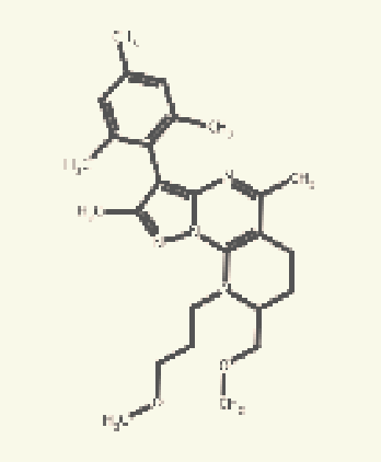 COCCCN1c2c(c(C)nc3c(-c4c(C)cc(C)cc4C)c(C)nn23)CCC1COC